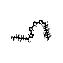 O=C(c1ccc(-c2ccc(-c3ccc(-c4ccc(C(=O)C(F)(F)C(F)(F)C(F)(F)C(F)(F)C(F)(F)C(F)(F)F)s4)s3)s2)s1)C(F)(F)C(F)(F)C(F)(F)C(F)(F)C(F)(F)C(F)(F)F